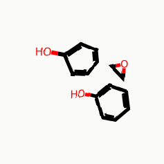 C1CO1.Oc1ccccc1.Oc1ccccc1